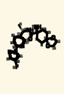 C[C@H](NC(=O)C1(N)CCC2(CC1)OCCO2)c1ccc(-n2cc(F)cn2)nc1